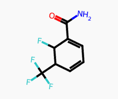 NC(=O)C1=CC=CC(C(F)(F)F)C1F